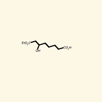 CCOC(=O)CC(O)CCCCC(=O)O